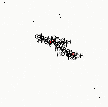 CCN[C@H]1CO[C@@H](O[C@H]2[C@H](O[C@H]3C#CC=CC#C[C@]4(O)CC(=O)C(NC(=O)OC)=C3/C4=C\CSS[C@H](C)COC(=O)Nc3ccc4c(C)cc(=O)oc4c3)O[C@H](C)[C@@H](NO[C@H]3C[C@H](O)[C@H](SC(=O)c4c(C)c(I)c(O[C@@H]5O[C@@H](C)[C@H](O)[C@@H](OC)[C@H]5O)c(OC)c4OC)[C@@H](C)O3)[C@@H]2O)C[C@@H]1OC